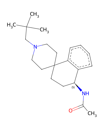 CC(=O)N[C@H]1CCC2(CCN(CC(C)(C)C)CC2)c2ccccc21